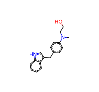 CN(CCO)c1ccc(Cc2c[nH]c3ccccc23)cc1